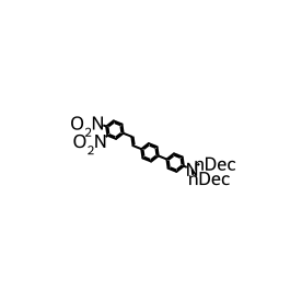 CCCCCCCCCCN(CCCCCCCCCC)c1ccc(-c2ccc(C=Cc3ccc([N+](=O)[O-])c([N+](=O)[O-])c3)cc2)cc1